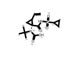 C=CC1C[C@@]1(C(=O)NS(=O)(=O)C1CC1)N(C(=O)O)C(C)(C)C